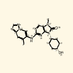 Cc1cc2ncnn2cc1Nc1ncc2c(n1)n([C@H]1CC[C@@H](O)CC1)c(=O)n2C